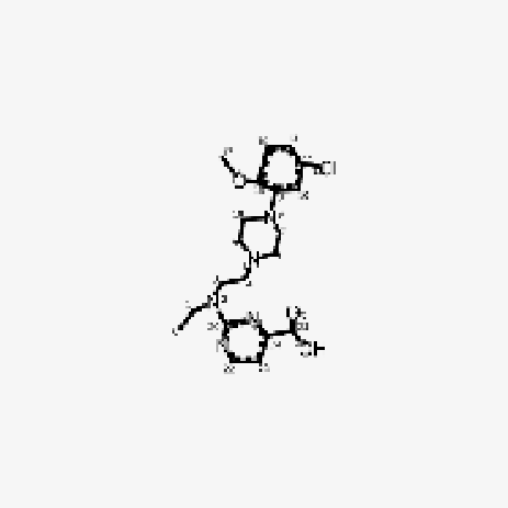 CCN(CCN1CCN(c2cc(Cl)ccc2OC)CC1)c1nccc(C(=O)O)n1